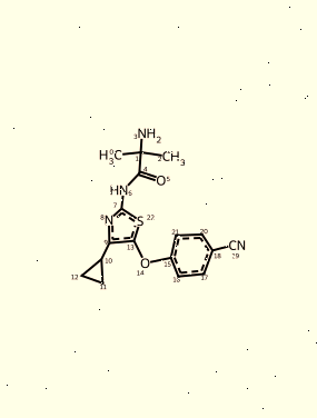 CC(C)(N)C(=O)Nc1nc(C2CC2)c(Oc2ccc(C#N)cc2)s1